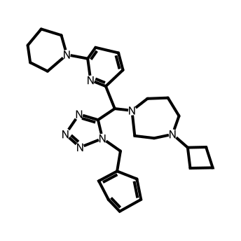 c1ccc(Cn2nnnc2C(c2cccc(N3CCCCC3)n2)N2CCCN(C3CCC3)CC2)cc1